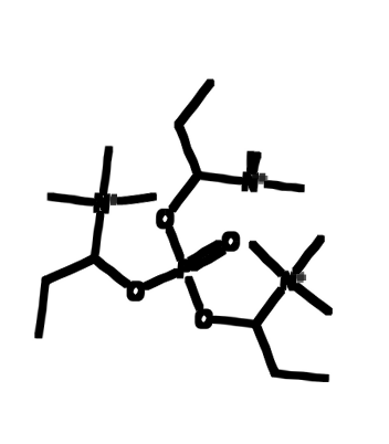 CCC(OP(=O)(OC(CC)[N+](C)(C)C)OC(CC)[N+](C)(C)C)[N+](C)(C)C